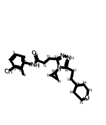 Cc1c(Cl)cccc1NC(=O)CCc1nnc(CCC2CCOCC2)n1C1CC1